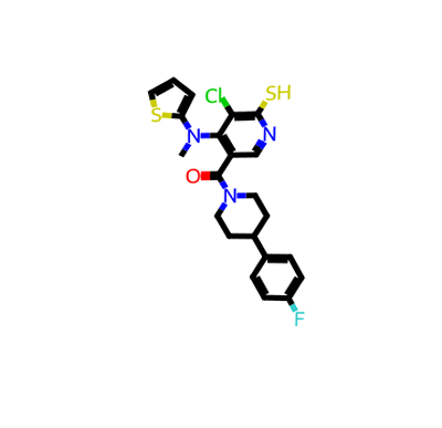 CN(c1cccs1)c1c(C(=O)N2CCC(c3ccc(F)cc3)CC2)cnc(S)c1Cl